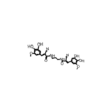 COc1cc(/C=C(\C#N)C(=O)NCCCNC(=O)/C(C#N)=C/c2cc(O)c(O)c(OC)c2)cc(O)c1O